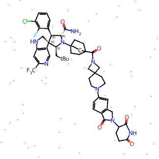 CC(C)(C)C[C@@H]1N(C23CCC(C(=O)N4CC5(CCN(c6ccc7c(c6)CN(C6CCC(=O)NC6=O)C7=O)CC5)C4)(CC2)CC3)[C@@H](C(N)=O)[C@H](c2cccc(Cl)c2F)[C@]12CNc1cc(C(F)(F)F)ncc12